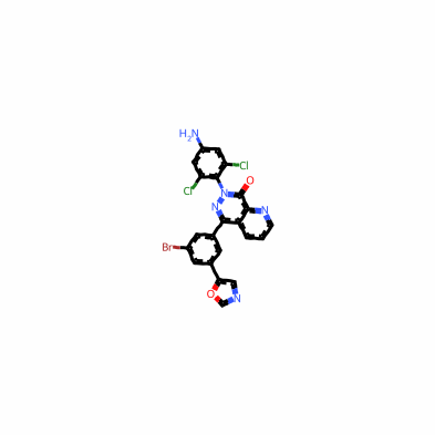 Nc1cc(Cl)c(-n2nc(-c3cc(Br)cc(-c4cnco4)c3)c3cccnc3c2=O)c(Cl)c1